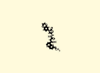 COc1ccc2nccc([C@@H](O)CC(=O)NC[C@@H]3CN(c4ccc5c(c4)OCCO5)C(=O)O3)c2n1